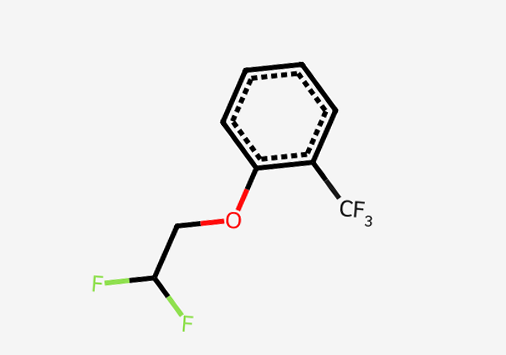 FC(F)COc1ccccc1C(F)(F)F